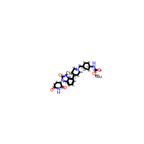 Cn1c(=O)n(C2CCC(=O)NC2=O)c2cccc(C3CCN(CC4CCC(NC(=O)OC(C)(C)C)CC4)CC3)c21